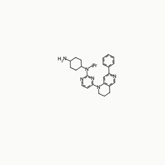 CC(C)N(c1nccc(N2CCCc3cnc(-c4ccccc4)cc32)n1)C1CCC(N)CC1